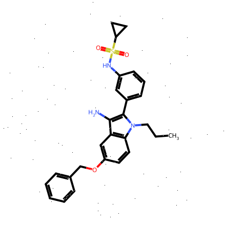 CCCn1c(-c2cccc(NS(=O)(=O)C3CC3)c2)c(N)c2cc(OCc3ccccc3)ccc21